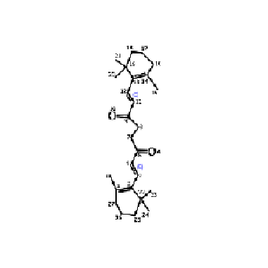 CC1=C(/C=C/C(=O)CCC(=O)/C=C/C2=C(C)CCCC2(C)C)C(C)(C)CCC1